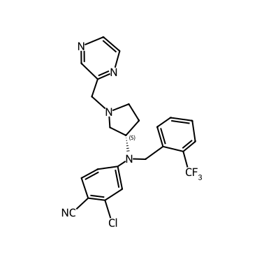 N#Cc1ccc(N(Cc2ccccc2C(F)(F)F)[C@H]2CCN(Cc3cnccn3)C2)cc1Cl